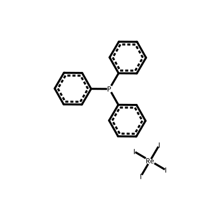 [I][Re]([I])([I])[I].c1ccc(P(c2ccccc2)c2ccccc2)cc1